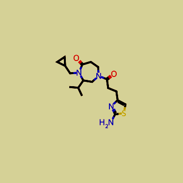 CC(C)C1CN(C(=O)CCc2csc(N)n2)CCC(=O)N1CC1CC1